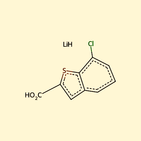 O=C(O)c1cc2cccc(Cl)c2s1.[LiH]